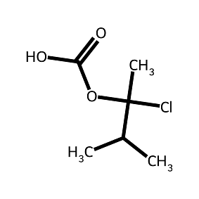 CC(C)C(C)(Cl)OC(=O)O